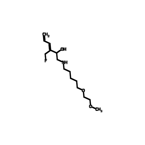 C=C/C=C(\CF)C(O)CNCCCCCOCCOC